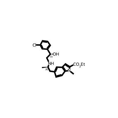 CCOC(=O)c1cc2cc(C[C@@H](C)NC[C@@H](O)c3cccc(Cl)c3)ccc2n1C